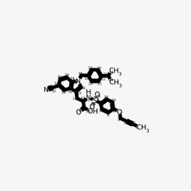 CC#CCOc1ccc(S(=O)(=O)NC(Cc2cn(Cc3ccc(C(C)C)cc3)c3ccc(C#N)cc23)C(=O)O)cc1